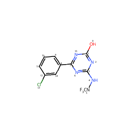 Oc1nc(NNC(F)(F)F)nc(-c2cccc(Cl)c2)n1